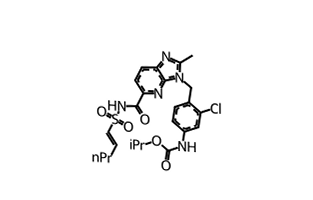 CCCC=CS(=O)(=O)NC(=O)c1ccc2nc(C)n(Cc3ccc(NC(=O)OC(C)C)cc3Cl)c2n1